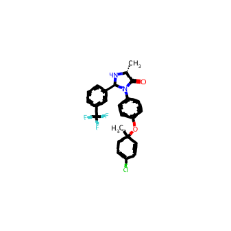 C[C@H]1NC(c2cccc(C(F)(F)F)c2)N(c2ccc(OC3(C)C=CC(Cl)=CC3)cc2)C1=O